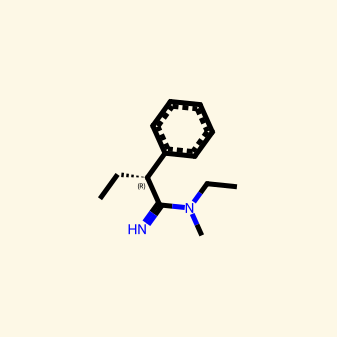 CC[C@@H](C(=N)N(C)CC)c1ccccc1